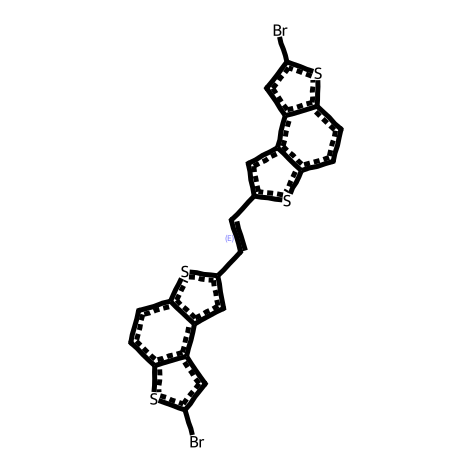 Brc1cc2c(ccc3sc(/C=C/c4cc5c(ccc6sc(Br)cc65)s4)cc32)s1